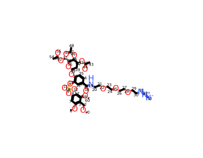 COCc1c(OC)cc(OS(=O)(=O)Oc2cc(C(=O)NCCOCCOCCOCCN=[N+]=[N-])ccc2OC2C[C@@H](OC(C)=O)[C@@H](OC(C)=O)[C@@H](COC(C)=O)O2)cc1OC